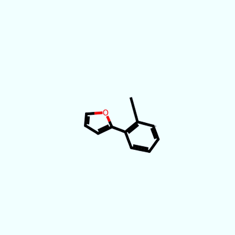 Cc1[c]cccc1-c1ccco1